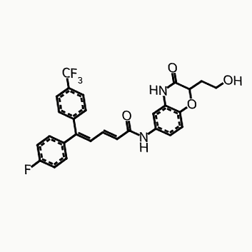 O=C(/C=C/C=C(/c1ccc(F)cc1)c1ccc(C(F)(F)F)cc1)Nc1ccc2c(c1)NC(=O)C(CCO)O2